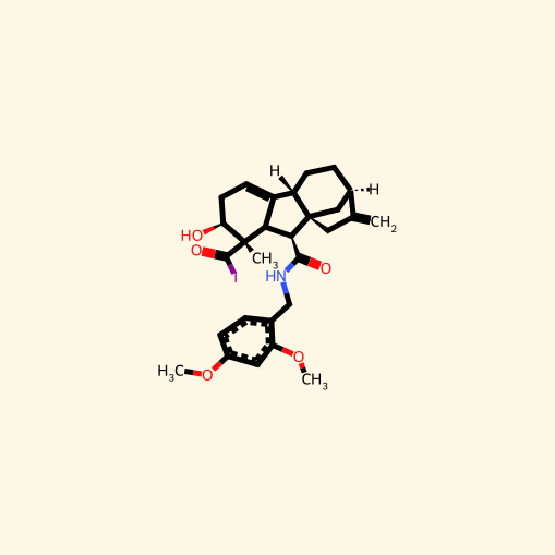 C=C1C[C@]23C[C@H]1CC[C@H]2C1=CC[C@H](O)[C@@](C)(C(=O)I)C1[C@@H]3C(=O)NCc1ccc(OC)cc1OC